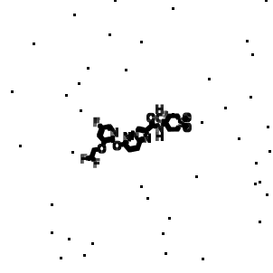 CC1(NC(=O)c2cn3nc(Oc4ncc(F)cc4OCC(F)F)ccc3n2)CCS(=O)(=O)CC1